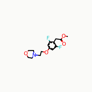 COC(=O)Cc1c(F)cc(OCCN2CCOCC2)cc1F